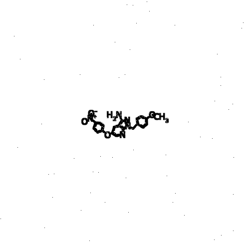 COc1ccc(Cn2nc(N)c3cc(Oc4ccc([N+](=O)[O-])cc4)cnc32)cc1